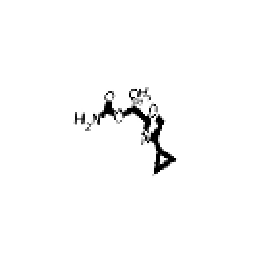 C[C@@H](OC(N)=O)c1nc(C2CC2)co1